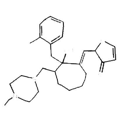 Cc1ccccc1CC1(O)C(=CC2OC=CC2=O)CCCCC1CN1CCN(C)CC1